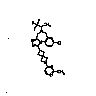 Cc1nccc(N2CC3(CC(c4nnc5n4-c4ccc(Cl)cc4CN(C(C)C(F)(F)F)C5)C3)C2)n1